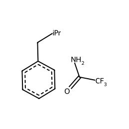 CC(C)Cc1ccccc1.NC(=O)C(F)(F)F